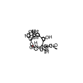 C=CC(=O)N1CC[C@H](C(=O)N(C)[C@H](C(=O)N[C@H]2Cc3cc(O)cc(c3)-c3ccc4c(c3)c(c(-c3c(OC)cncc3OC)n4CC)CC(C)(C)COC(=O)[C@@H]3CCCN(N3)C2=O)C(C)C)C1